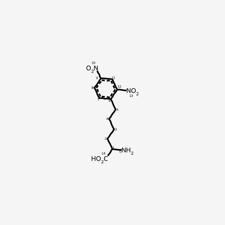 NC(CCCCc1ccc([N+](=O)[O-])cc1[N+](=O)[O-])C(=O)O